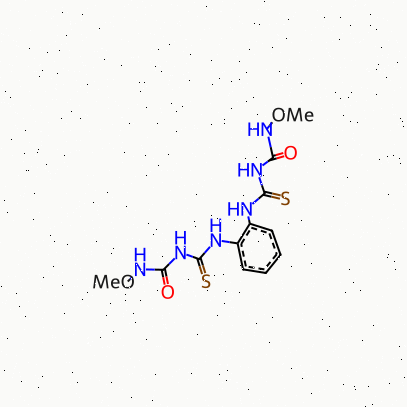 CONC(=O)NC(=S)Nc1ccccc1NC(=S)NC(=O)NOC